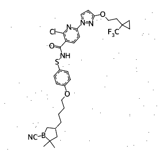 CC1(C)CC(CCCCOc2ccc(SNC(=O)c3ccc(-n4ccc(OCCC5(C(F)(F)F)CC5)n4)nc3Cl)cc2)CB1C#N